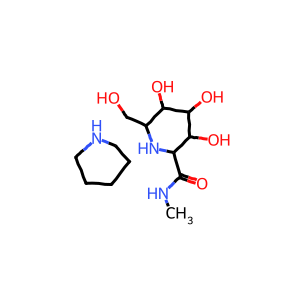 C1CCNCC1.CNC(=O)C1NC(CO)C(O)C(O)C1O